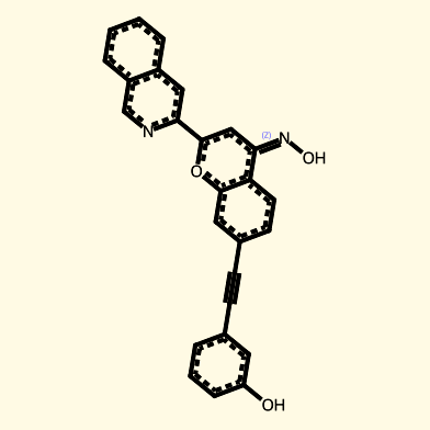 O/N=c1/cc(-c2cc3ccccc3cn2)oc2cc(C#Cc3cccc(O)c3)ccc12